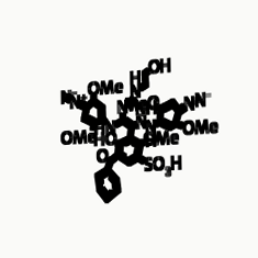 COC1=CC(=[N+]=[N-])C(OC)C=C1NC1=C(c2c(O)c(C(=O)c3ccccc3)cc(S(=O)(=O)O)c2OC)N(NC2=CC(OC)C(=[N+]=[N-])C=C2OC)NC(NCCO)=N1